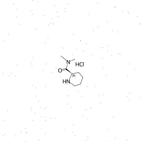 CN(C)C(=O)[C@H]1CCCCN1.Cl